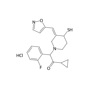 Cl.O=C(C1CC1)C(c1ccccc1F)N1CCC(S)C(=Cc2ccno2)C1